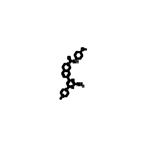 CO[C@H]1CC[C@H](NC(=O)N2CCc3ccc(-c4cc(N5CCN(C)CC5)nc(N)n4)cc3C2)CC1